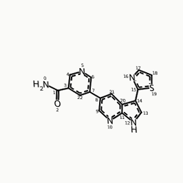 NC(=O)c1cncc(-c2cnc3[nH]cc(-c4nccs4)c3c2)c1